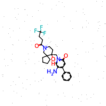 Nc1cn(CC2(O)CCN(C(=O)CCC(F)(F)F)CC23CCCC3)c(=O)cc1-c1ccccc1